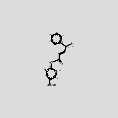 CCCCCCCCCc1cnc(OC(=O)/C=C/C(CC)c2ccccc2)nc1